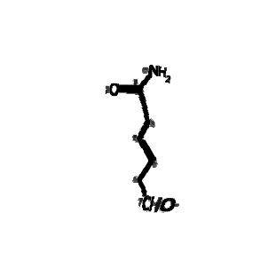 NC(=O)CC=CC[C]=O